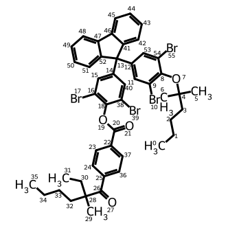 CCCCC(C)(C)Oc1c(Br)cc(C2(c3cc(Br)c(OC(=O)c4ccc(C(=O)C(C)(CC)CCCC)cc4)c(Br)c3)c3ccccc3-c3ccccc32)cc1Br